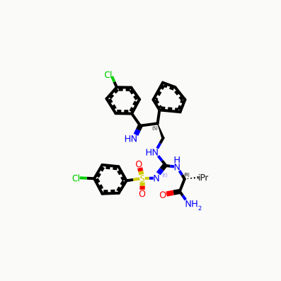 CC(C)[C@@H](N/C(=N/S(=O)(=O)c1ccc(Cl)cc1)NC[C@@H](C(=N)c1ccc(Cl)cc1)c1ccccc1)C(N)=O